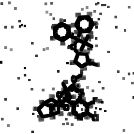 CN1C[C@H](O[Si](c2ccccc2)(c2ccccc2)C(C)(C)C)C[C@H]1COc1nc(N2CC3CCC(C2)N3C(=O)OC(C)(C)C)c2cnc(Cl)c(F)c2n1